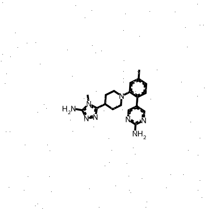 Cc1ccc(-c2cnc(N)nc2)c(N2CCC(c3nnc(N)n3C)CC2)c1